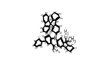 CC(C)c1cc(-c2ccccc2)ccc1N(c1ccc2c(c1)C(C)(C)c1ccccc1-2)c1ccc2c(c1)C(c1ccccc1)(c1ccccc1)c1ccccc1-2